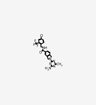 Cc1nc(N)nc(N2Cc3ccc(C(=O)NCc4ccc(Cl)cc4C(F)(F)F)cc3C2)n1